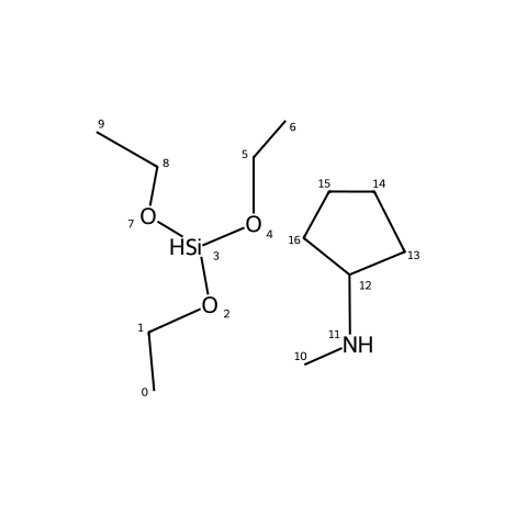 CCO[SiH](OCC)OCC.CNC1CCCC1